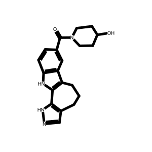 O=C(c1ccc2[nH]c3c(c2c1)CCCc1cn[nH]c1-3)N1CCC(O)CC1